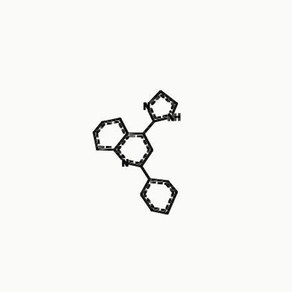 c1ccc(-c2cc(-c3ncc[nH]3)c3ccccc3n2)cc1